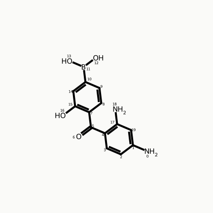 Nc1ccc(C(=O)c2ccc(B(O)O)cc2O)c(N)c1